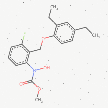 CCc1ccc(OCc2c(F)cccc2N(O)C(=O)OC)c(CC)c1